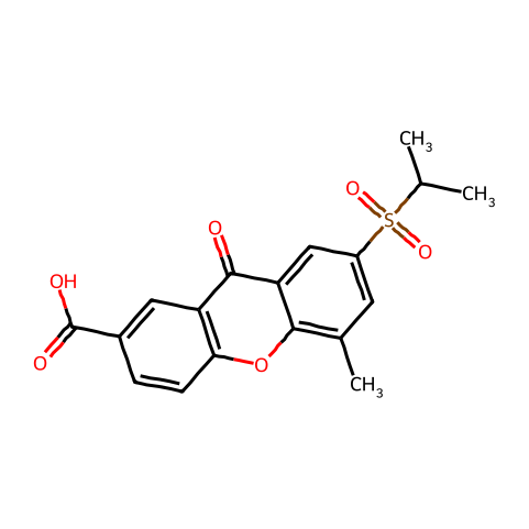 Cc1cc(S(=O)(=O)C(C)C)cc2c(=O)c3cc(C(=O)O)ccc3oc12